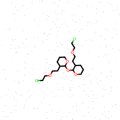 ClCCOCCC1CCCOC1OC1OCCCC1CCOCCCl